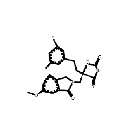 COc1ccc2c(c1)C(=O)N(C[C@@]1(CCc3cc(F)cc(F)c3)NC(=O)NC1=O)C2